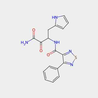 NC(=O)C(=O)C(Cc1ccc[nH]1)NC(=O)c1nsnc1-c1ccccc1